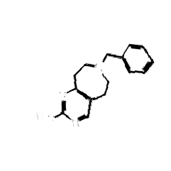 Nc1ncc2c(n1)CCN(Cc1ccccc1)CC2